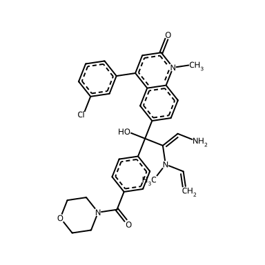 C=CN(C)/C(=C\N)C(O)(c1ccc(C(=O)N2CCOCC2)cc1)c1ccc2c(c1)c(-c1cccc(Cl)c1)cc(=O)n2C